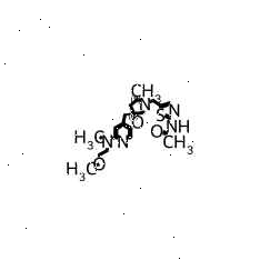 COCCN(C)c1cc2c(cn1)O[C@]1(C2)C[C@H](C)N(Cc2cnc(NC(C)=O)s2)C1